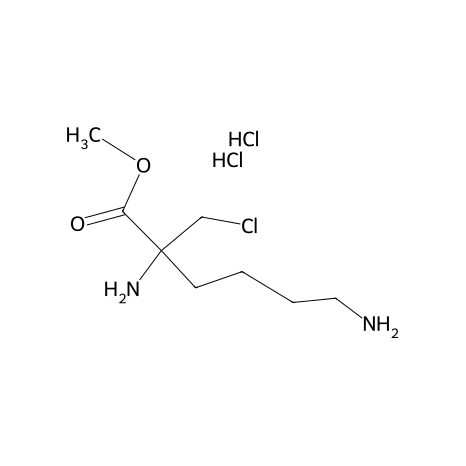 COC(=O)C(N)(CCl)CCCCN.Cl.Cl